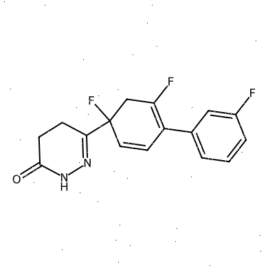 O=C1CCC(C2(F)C=CC(c3cccc(F)c3)=C(F)C2)=NN1